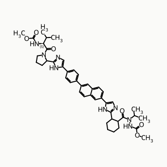 COC(=O)N[C@H](C(=O)N1CCCC1c1ncc(-c2ccc(-c3ccc4cc(-c5cnc(C6CCCCC6C(=O)N(NC(=O)OC)C(C)C)[nH]5)ccc4c3)cc2)[nH]1)C(C)C